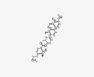 CCCc1ccc(C(=O)OC2CC=C(c3ccc(-c4ccc(C5CO5)c(F)c4F)c(F)c3F)CC2)c(F)c1F